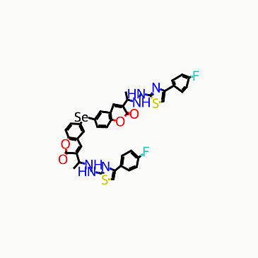 CC(NNc1nc(-c2ccc(F)cc2)cs1)c1cc2cc([Se]c3ccc4oc(=O)c(C(C)NNc5nc(-c6ccc(F)cc6)cs5)cc4c3)ccc2oc1=O